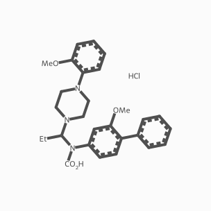 CCC(N1CCN(c2ccccc2OC)CC1)N(C(=O)O)c1ccc(-c2ccccc2)c(OC)c1.Cl